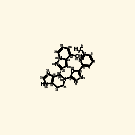 Cc1cccc(-c2nnc(N3CCc4[nH]cnc4[C@@H]3c3cc4c(C)cccn4n3)o2)n1